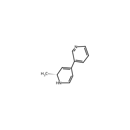 C[C@@H]1C=C(c2cccnc2)C=CN1